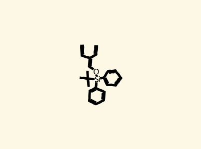 C=CC(C=C)=CO[Si](c1ccccc1)(c1ccccc1)C(C)(C)C